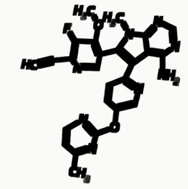 C#Cc1ncc(-c2c(-c3ccc(Oc4nccc(C)n4)cn3)c3c(N)ncnc3n2C)c(OC)c1F